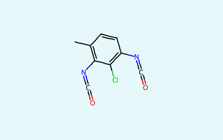 Cc1ccc(N=C=O)c(Cl)c1N=C=O